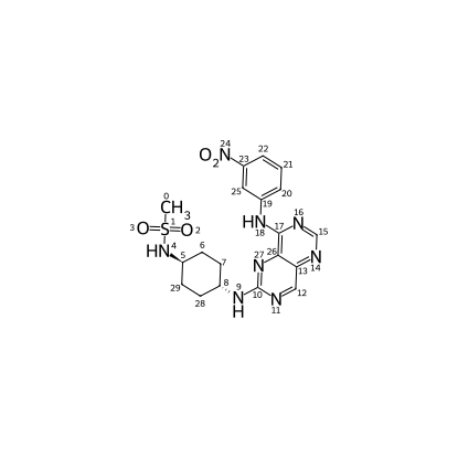 CS(=O)(=O)N[C@H]1CC[C@H](Nc2ncc3ncnc(Nc4cccc([N+](=O)[O-])c4)c3n2)CC1